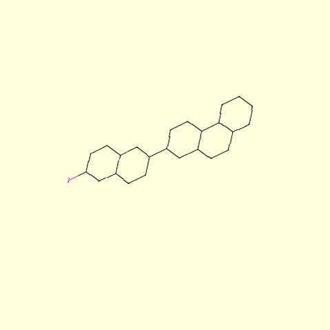 IC1CCC2CC(C3CCC4C(CCC5CCCCC54)C3)CCC2C1